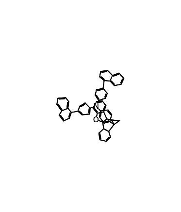 C1=CC2C3Oc4ccccc4C3C3CC3(c3ccc(N(c4ccc(-c5cccc6ccccc56)cc4)c4ccc(-c5cccc6ccccc56)cc4)cc3)C2C=C1